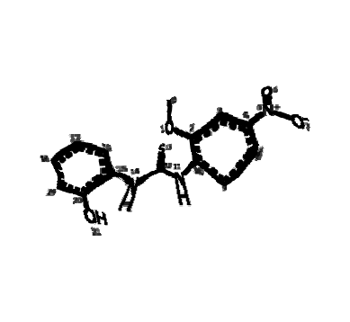 COc1cc([N+](=O)[O-])ccc1NC(=S)Nc1ccccc1O